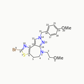 COCCN1CCc2sc(Br)nc2-c2cn(Cc3ccc(OC)cc3)nc21